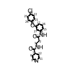 O=C(CCNC(=O)c1ccncc1)Nc1cccc(Oc2ccc(Cl)cc2)c1